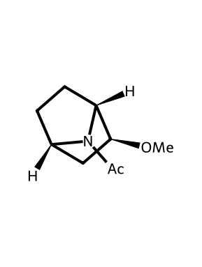 CO[C@H]1C[C@@H]2CC[C@H]1N2C(C)=O